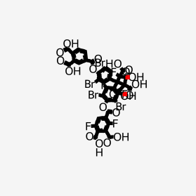 O=C(Oc1c(Br)cc(C(c2c(F)c(Br)c(OC(=O)c3cc(F)c(C(=O)O)c(C(=O)O)c3F)c(Br)c2F)(C(F)(F)C(=O)O)C(C(=O)O)(C(=O)O)C(=O)O)cc1Br)c1ccc(C(=O)O)c(C(=O)O)c1